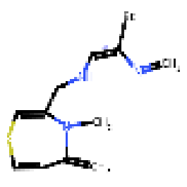 C=N/C(=C\NCC1=CSC=CC(=C)N1C)CC